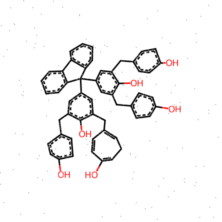 OC1=CCC=C(Cc2cc(C3(c4cc(Cc5ccc(O)cc5)c(O)c(Cc5ccc(O)cc5)c4)c4ccccc4-c4ccccc43)cc(Cc3ccc(O)cc3)c2O)C=C1